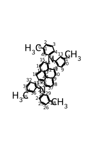 Cc1cccc(N(c2cccc(C)c2)c2ccc3ccc4c(N(c5cccc(C)c5)c5cccc(C)c5)ccc5ccc2c3c54)c1